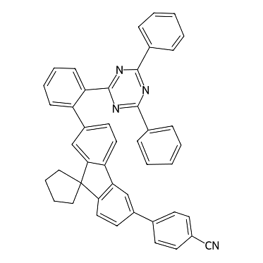 N#Cc1ccc(-c2ccc3c(c2)-c2ccc(-c4ccccc4-c4nc(-c5ccccc5)nc(-c5ccccc5)n4)cc2C32CCCC2)cc1